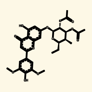 CC[C@H]1O[C@@H](Oc2cc(O)c3c(=O)cc(-c4cc(OC)c(O)c(OC)c4)oc3c2)[C@H](OC(C)=O)[C@@H](OC(C)=O)[C@H]1C